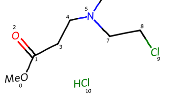 COC(=O)CCN(C)CCCl.Cl